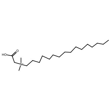 CCCCCCCCCCCCCCCC[N+](C)(C)CC(=O)O